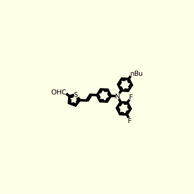 CCCCc1ccc(N(c2ccc(/C=C/c3ccc(C=O)s3)cc2)c2ccc(F)cc2F)cc1